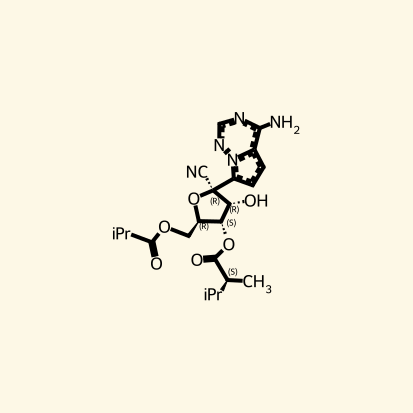 CC(C)C(=O)OC[C@H]1O[C@@](C#N)(c2ccc3c(N)ncnn23)[C@H](O)[C@@H]1OC(=O)[C@@H](C)C(C)C